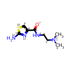 CN(C)CCNC(=O)c1csc(N)n1